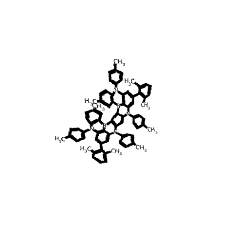 Cc1ccc(N2c3ccc(C)cc3B3c4cc5c(cc4N(c4ccc(C)cc4)c4cc(-c6c(C)cccc6C)cc2c43)N(c2ccc(C)cc2)c2cc(-c3c(C)cccc3C)cc3c2B5c2cc(C)ccc2N3c2ccc(C)cc2)cc1